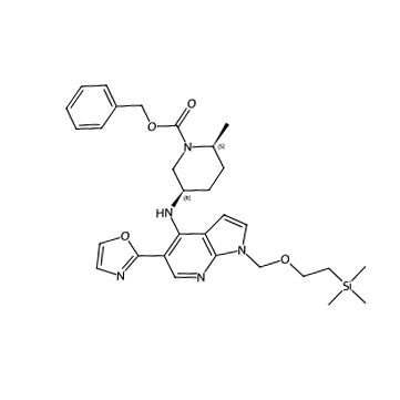 C[C@H]1CC[C@@H](Nc2c(-c3ncco3)cnc3c2ccn3COCC[Si](C)(C)C)CN1C(=O)OCc1ccccc1